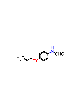 C=CCOc1ccc(NC=O)cc1